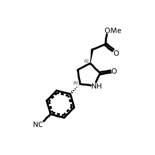 COC(=O)C[C@@H]1C[C@@H](c2ccc(C#N)cc2)NC1=O